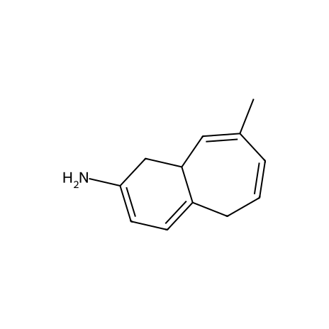 CC1=CC2CC(N)=CC=C2CC=C1